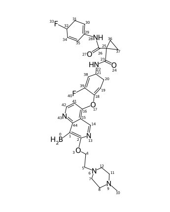 Bc1c(OCCN2CCN(C)CC2)ncc2c(OC3=CCC(NC(=O)C4(C(=O)NC5=CCC(F)C=C5)CC4)C=C3F)ccnc12